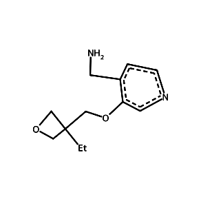 CCC1(COc2cnccc2CN)COC1